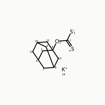 S=C([S-])OC12CC3CC(CC(C3)C1)C2.[K+]